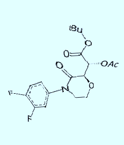 CC(=O)O[C@@H](C(=O)OC(C)(C)C)[C@H]1OCCN(c2ccc(F)c(F)c2)C1=O